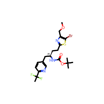 COCc1nc(CC[C@H](Cc2ccc(C(C)(F)F)nc2)NC(=O)OC(C)(C)C)sc1Br